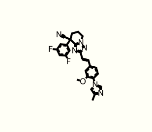 COc1cc(/C=C/c2nc3n(n2)CCCC3(C#N)c2cc(F)cc(F)c2)ccc1-n1cnc(C)c1